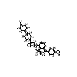 COc1ccc(C(=O)c2cccc(NCC(=O)N3CCN(C4CCN(C)CC4)CC3)c2C(F)(F)F)cc1